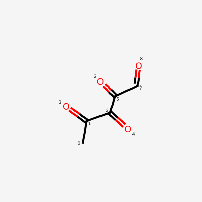 CC(=O)C(=O)C(=O)[C]=O